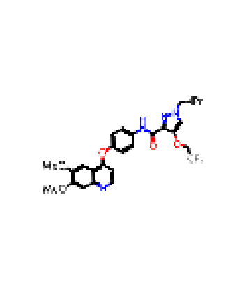 COc1cc2nccc(Oc3ccc(NC(=O)c4nn(CC(C)C)cc4OCC(F)(F)F)cc3)c2cc1OC